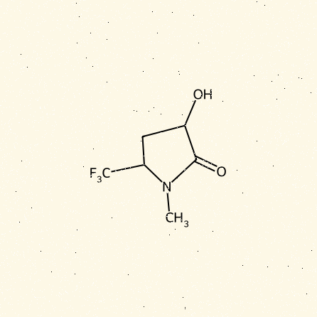 CN1C(=O)C(O)CC1C(F)(F)F